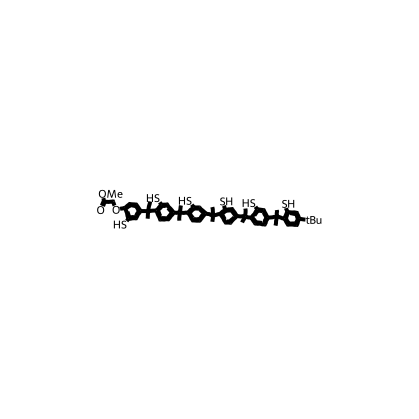 COC(=O)COc1ccc(C(C)(C)c2ccc(C(C)(C)c3ccc(C(C)(C)c4ccc(C(C)(C)c5ccc(C(C)(C)c6ccc(C(C)(C)C)cc6S)cc5S)cc4S)cc3S)cc2S)cc1S